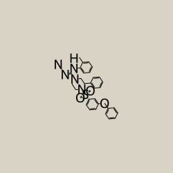 Cc1ccccc1N/C(=N\C#N)N1CCN(S(=O)(=O)c2cccc(Oc3ccccc3)c2)C(c2ccccc2)C1